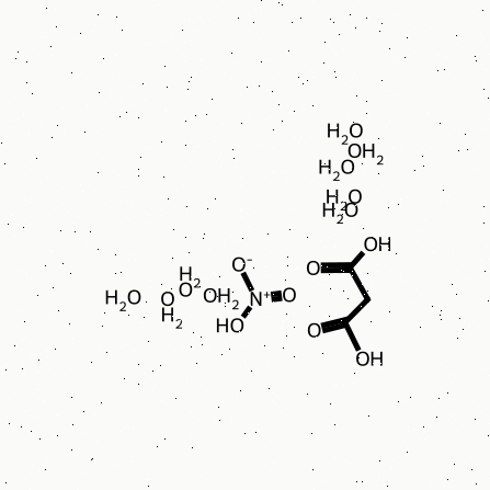 O.O.O.O.O.O.O.O.O.O=C(O)CC(=O)O.O=[N+]([O-])O